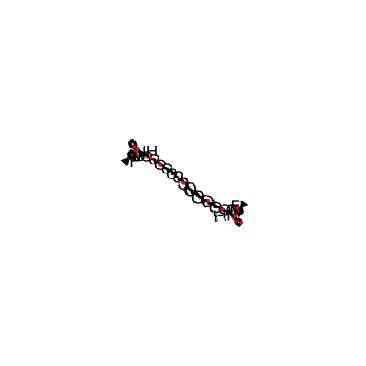 O=C(COCCOCCOCCOCCOCCOCCOCCOCCOCCOCCOCCOCC(=O)N[C@@H](c1ccccc1)c1ccc(C2CC2)c(F)n1)NC(c1ccccc1)c1ccc(C2CC2)c(F)n1